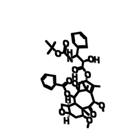 CO[C@H]1C(=O)[C@@]2(C)C(C(OC(=O)c3ccccc3)[C@]3(O)C[C@H](OC(=O)[C@H](O)C(NC(=O)OC(C)(C)C)c4ccccc4)C(C)=C1C3(C)C)[C@@H]1CO[C@@H]1C[C@@H]2OC